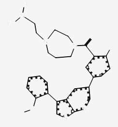 COc1ccccc1-c1c[nH]c2ncc(-c3ccc(F)c(C(=O)N4CCCN(CCN(C)C)CC4)c3)cc12